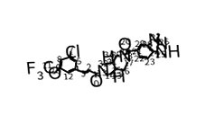 O=C(/C=C/c1cc(Cl)cc(OC(F)(F)F)c1)N1C[C@H]2CCN(C(=O)c3ccc4[nH]nnc4c3)C[C@@H]2C1